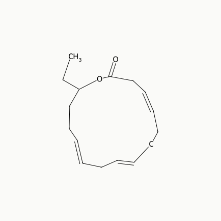 CCC1CC/C=C/C/C=C/CC/C=C\CC(=O)O1